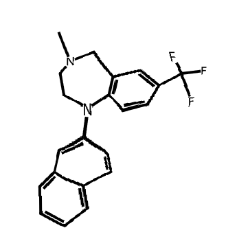 CN1CCN(c2ccc3ccccc3c2)c2ccc(C(F)(F)F)cc2C1